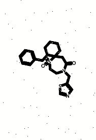 O=C1CC2(CCCCC2Cc2ccccc2)S(=O)(=O)CCN1Cc1cncs1